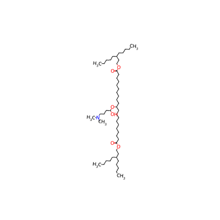 CCCCCC(CCCCC)CCOC(=O)CCCCCCCCCC(CCCCCCCCCC(=O)OCCC(CCCCC)CCCCC)OC(O)CCCN(C)C